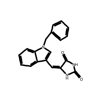 O=C1NC(=O)/C(=C\c2cn(Cc3ccccc3)c3ccccc23)N1